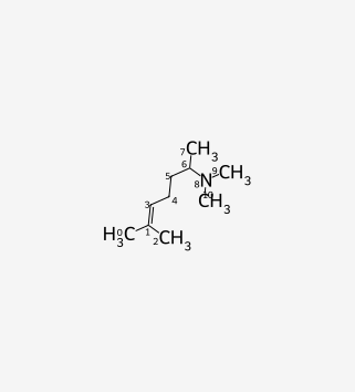 CC(C)=CCCC(C)N(C)C